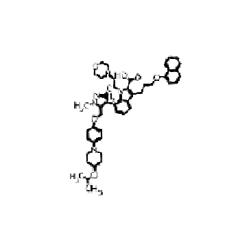 Cc1nn(C)c(COc2ccc(N3CCC(OC(C)C)CC3)cc2)c1-c1cccc2c(CCCOc3cccc4ccccc34)c(C(=O)O)n(CCN3CCOCC3)c12